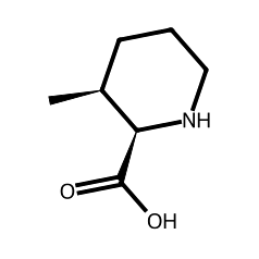 C[C@H]1CCCN[C@H]1C(=O)O